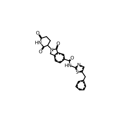 O=C1CCC(N2Cc3ccc(C(=O)Nc4ncc(Cc5ccccc5)s4)cc3C2=O)C(=O)N1